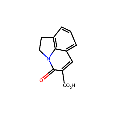 O=C(O)c1cc2cccc3c2n(c1=O)CC3